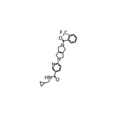 O=C(NCC1CC1)c1ccc(N2CC3=C(CN(C(=O)c4ccccc4C(F)(F)F)C3)C2)nc1